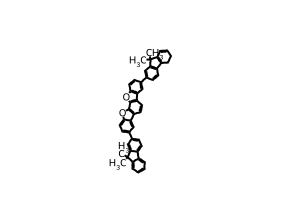 CC1(C)C2=C(CCC=C2)c2ccc(-c3ccc4oc5c(ccc6c7cc(-c8ccc9c(c8)C(C)(C)c8ccccc8-9)ccc7oc65)c4c3)cc21